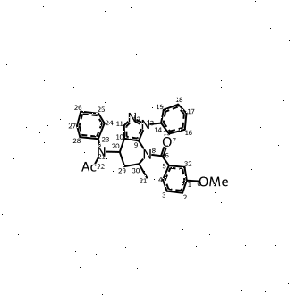 COc1cccc(C(=O)N2c3c(cnn3-c3ccccc3)C(N(C(C)=O)c3ccccc3)CC2C)c1